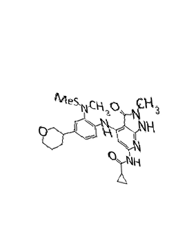 CSN(C)c1cc(C2CCCOC2)ccc1Nc1cc(NC(=O)C2CC2)nc2[nH]n(C)c(=O)c12